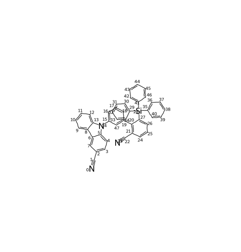 N#Cc1ccc2c(c1)c1ccccc1n2-c1cccc(-c2c(C#N)cccc2[Si](c2ccccc2)(c2ccccc2)c2ccccc2)c1